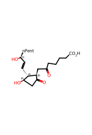 CCCCC[C@H](O)C=C[C@H]1[C@H](O)CC(=O)[C@@H]1CC(=O)CCCCC(=O)O